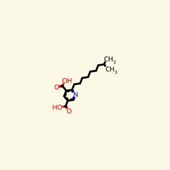 CC(C)CCCCCCCc1ncc(C(=O)O)cc1C(=O)O